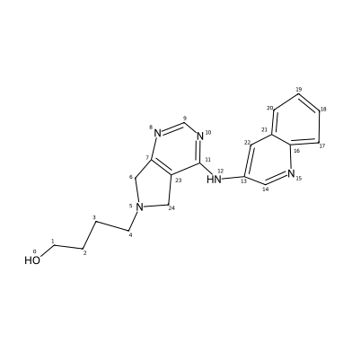 OCCCCN1Cc2ncnc(Nc3cnc4ccccc4c3)c2C1